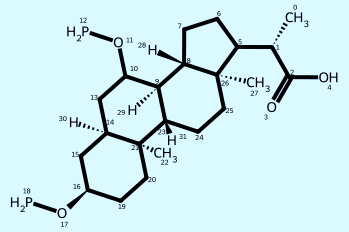 C[C@H](C(=O)O)C1CC[C@H]2[C@@H]3C(OP)C[C@@H]4C[C@H](OP)CC[C@]4(C)[C@H]3CC[C@]12C